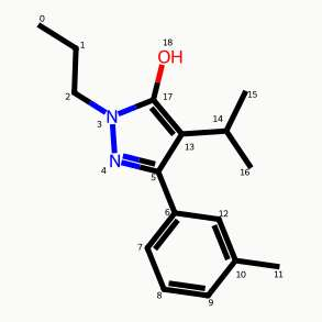 CCCn1nc(-c2cccc(C)c2)c(C(C)C)c1O